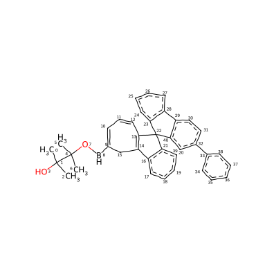 CC(C)(O)C(C)(C)OBC1=CC=CC2=C(C1)c1ccccc1C21c2ccccc2-c2ccc(-c3ccccc3)cc21